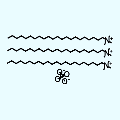 CCCCCCCCCCCCCCCCCCCCCC[N+](C)(C)C.CCCCCCCCCCCCCCCCCCCCCC[N+](C)(C)C.CCCCCCCCCCCCCCCCCCCCCC[N+](C)(C)C.O=P([O-])([O-])[O-]